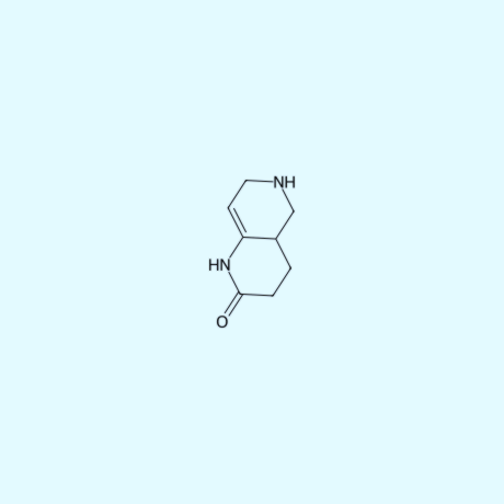 O=C1CCC2CNCC=C2N1